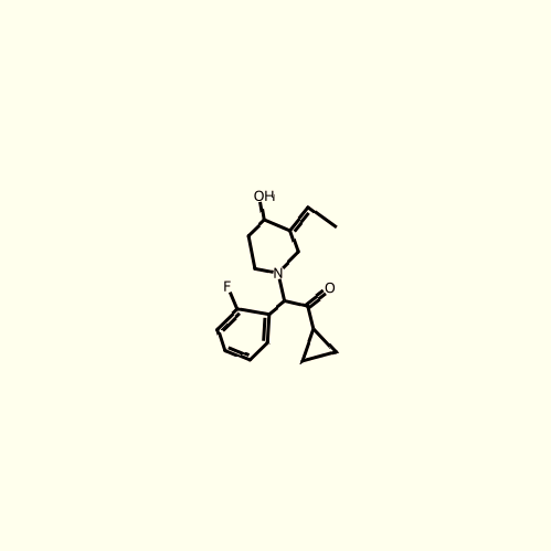 C/C=C1\CN(C(C(=O)C2CC2)c2ccccc2F)CCC1O